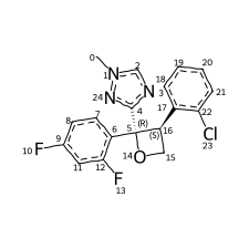 Cn1cnc([C@@]2(c3ccc(F)cc3F)OC[C@@H]2c2ccccc2Cl)n1